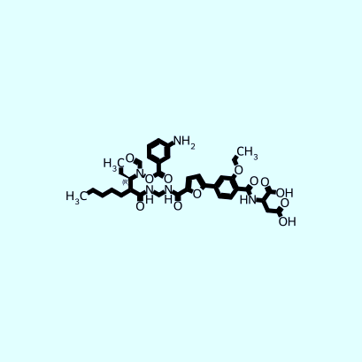 CCCCCC(C(=O)NCNC(=O)c1ccc(-c2ccc(C(=O)NC(CC(=O)O)C(=O)O)c(OCC)c2)o1)[C@@H](CC)N(C=O)OC(=O)c1cccc(N)c1